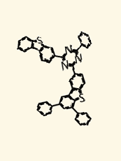 c1ccc(-c2cc(-c3ccccc3)c3sc4ccc(-c5nc(-c6ccccc6)nc(-c6ccc7c(c6)sc6ccccc67)n5)cc4c3c2)cc1